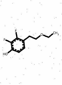 CCOCCc1ccc(O)c(F)c1F